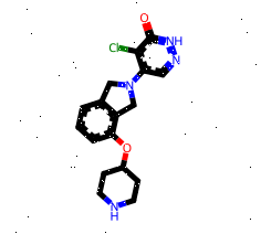 O=c1[nH]ncc(N2Cc3cccc(OC4CCNCC4)c3C2)c1Cl